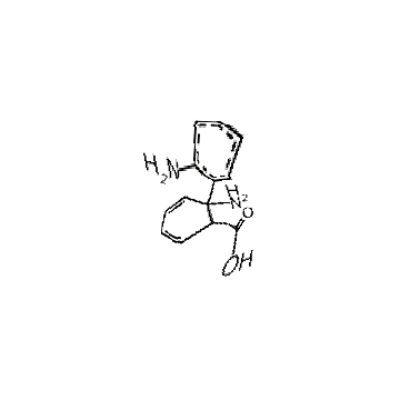 Nc1ccccc1C1(N)C=CC=CC1C(=O)O